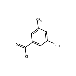 FC(F)(F)c1cc(C(=S)Cl)cc(C(F)(F)F)c1